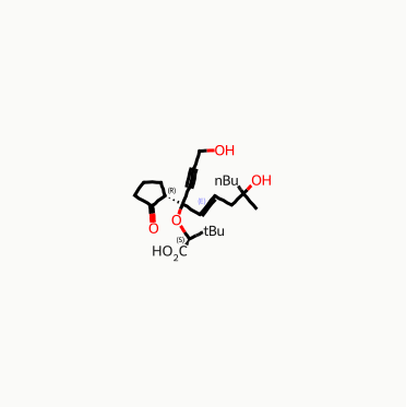 CCCCC(C)(O)C/C=C/C(C#CCO)(O[C@H](C(=O)O)C(C)(C)C)[C@H]1CCCC1=O